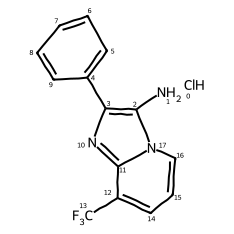 Cl.Nc1c(-c2ccccc2)nc2c(C(F)(F)F)cccn12